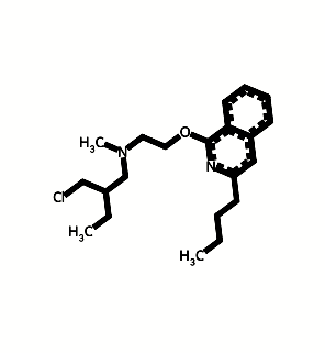 CCCCc1cc2ccccc2c(OCCN(C)CC(CC)CCl)n1